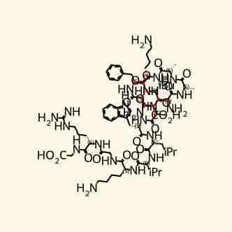 CC[C@H](C)[C@H](NC(=O)[C@H](Cc1ccccc1)NC(=O)[C@H](CCC(=O)O)NC(=O)[C@H](CCCCN)NC(=O)[C@H](C)NC(=O)[C@H](C)NC(=O)[C@@H](N)CCC(N)=O)C(=O)N[C@@H](C)C(=O)N[C@@H](Cc1c[nH]c2ccccc12)C(=O)N[C@@H](CC(C)C)C(=O)N[C@H](C(=O)N[C@@H](CCCCN)C(=O)NCC(=O)N[C@@H](CCCNC(=N)N)C(=O)NCC(=O)O)C(C)C